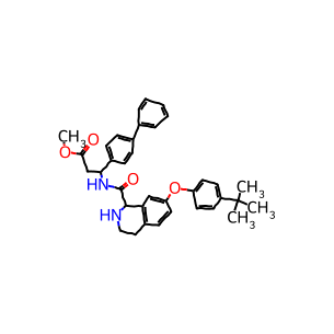 COC(=O)CC(NC(=O)C1NCCc2ccc(Oc3ccc(C(C)(C)C)cc3)cc21)c1ccc(-c2ccccc2)cc1